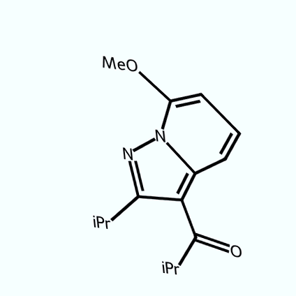 COc1cccc2c(C(=O)C(C)C)c(C(C)C)nn12